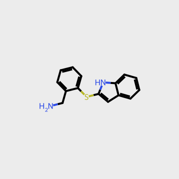 NCc1ccccc1Sc1cc2ccccc2[nH]1